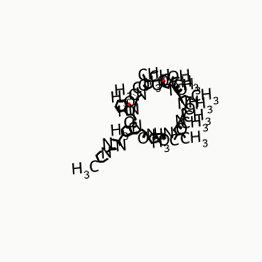 CCC(C)C1NC(=O)C2CCCN2C(=O)C(Cc2cccc(-c3cnc(N4CCC(C)CC4)cn3)c2)N(C)C(=O)C(Cc2ccccc2)NC(=O)[C@H](C)N(C)C(=O)[C@@H](C(C)CC)OC(=O)C(C(C)(C)O)N(C)C(=O)C(CC(C)C)NC(=O)[C@H](C)N(C)C1=O